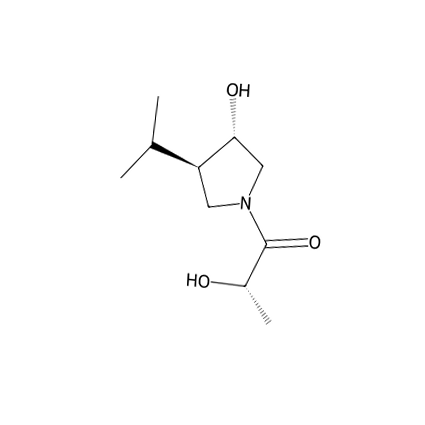 CC(C)[C@@H]1CN(C(=O)[C@H](C)O)C[C@H]1O